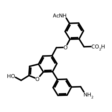 CC(=O)Nc1ccc(CC(=O)O)c(OCc2cc(-c3cccc(CN)c3)c3oc(CO)cc3c2)c1